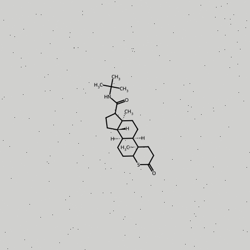 CC(C)(C)NC(=O)C1CC[C@H]2[C@@H]3CCC4SC(=O)CC[C@]4(C)[C@@H]3CC[C@]12C